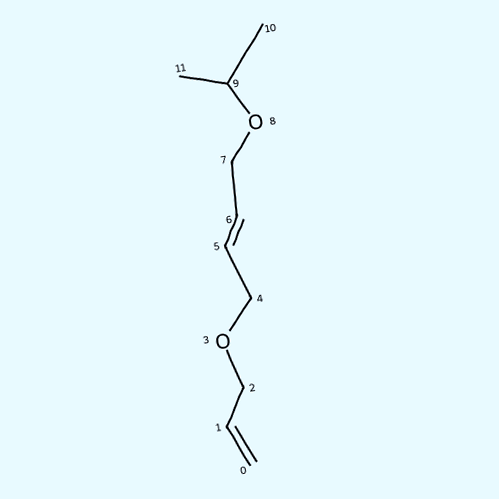 C=CCOCC=CCOC(C)C